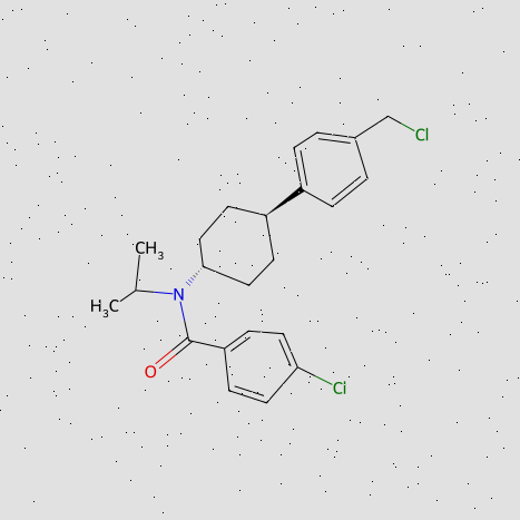 CC(C)N(C(=O)c1ccc(Cl)cc1)[C@H]1CC[C@H](c2ccc(CCl)cc2)CC1